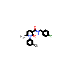 Cc1ccc(C(=O)NCc2ccc(Cl)cc2)c(=O)n1-c1cccc(C#N)c1